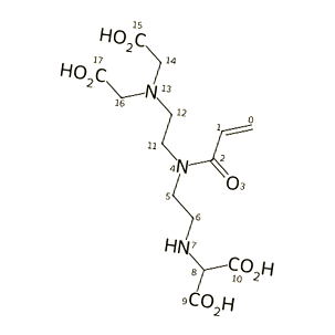 C=CC(=O)N(CCNC(C(=O)O)C(=O)O)CCN(CC(=O)O)CC(=O)O